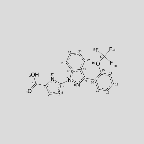 O=C(O)c1csc(-n2nc(-c3ccccc3OC(F)(F)F)c3ccccc32)n1